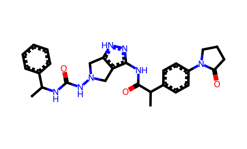 CC(NC(=O)NN1Cc2[nH]nc(NC(=O)C(C)c3ccc(N4CCCC4=O)cc3)c2C1)c1ccccc1